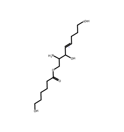 CCCCCCCCCCCCC/C=C/C(O)C(N)COC(=O)CCCCCO